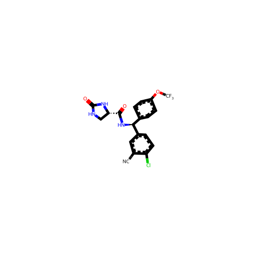 N#Cc1cc([C@@H](NC(=O)[C@@H]2CNC(=O)N2)c2ccc(OC(F)(F)F)cc2)ccc1Cl